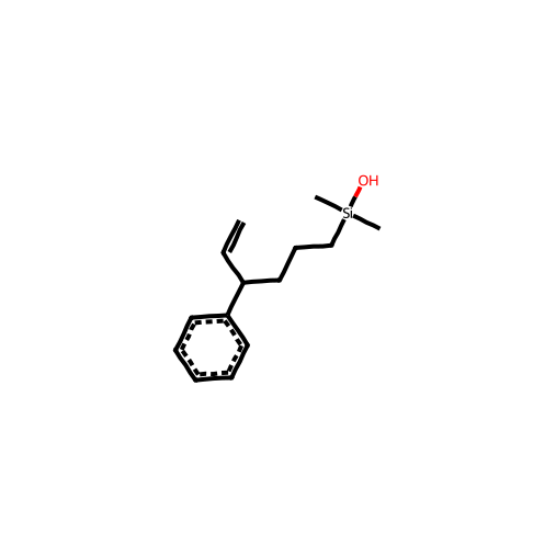 C=CC(CCC[Si](C)(C)O)c1ccccc1